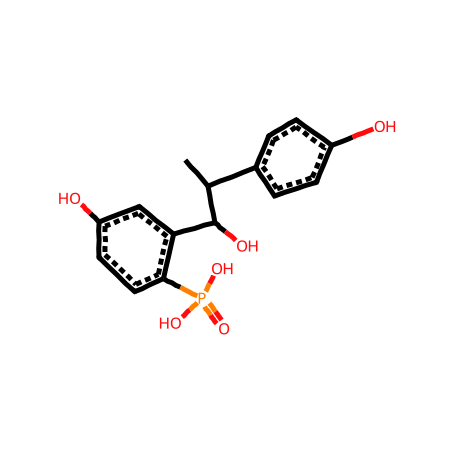 CC(c1ccc(O)cc1)C(O)c1cc(O)ccc1P(=O)(O)O